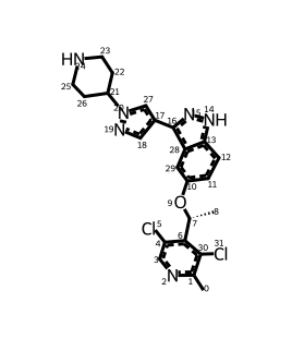 Cc1ncc(Cl)c([C@@H](C)Oc2ccc3[nH]nc(-c4cnn(C5CCNCC5)c4)c3c2)c1Cl